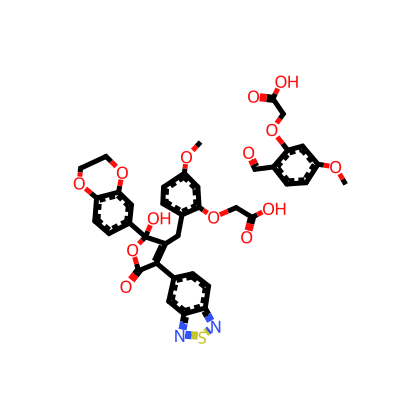 COc1ccc(C=O)c(OCC(=O)O)c1.COc1ccc(CC2=C(c3ccc4nsnc4c3)C(=O)OC2(O)c2ccc3c(c2)OCCO3)c(OCC(=O)O)c1